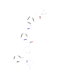 O=C(Nc1ccc2oc(-c3ccnc(C(=O)N4CCN([C@@H](c5ccccc5)c5nnn(C(F)F)n5)CC4)c3)nc2c1)[C@H]1C[C@@H]1F